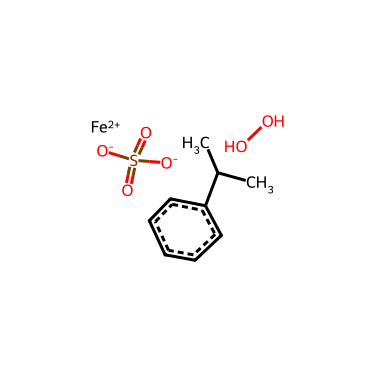 CC(C)c1ccccc1.O=S(=O)([O-])[O-].OO.[Fe+2]